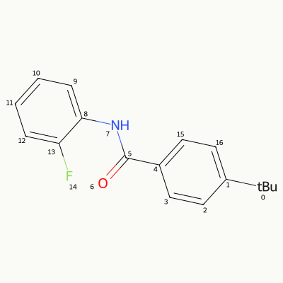 CC(C)(C)c1ccc(C(=O)Nc2ccccc2F)cc1